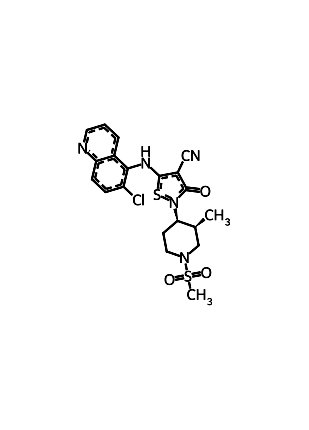 C[C@H]1CN(S(C)(=O)=O)CC[C@H]1n1sc(Nc2c(Cl)ccc3ncccc23)c(C#N)c1=O